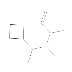 C=CC(C)N(C)C(C)C1CCC1